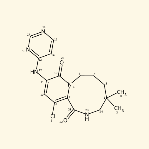 CC1(C)CCCn2c(c(Cl)cc(Nc3ccncn3)c2=O)C(=O)NC1